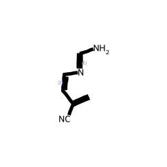 C=C(C#N)/C=C\N=C\N